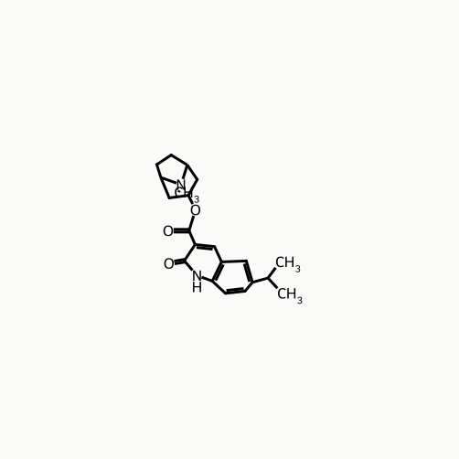 CC(C)c1ccc2[nH]c(=O)c(C(=O)OC3CC4CCC(C3)N4C)cc2c1